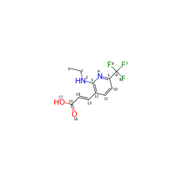 CCNc1nc(C(F)(F)F)ccc1C=CC(=O)O